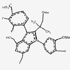 COCC(C)(C)c1c(-c2ccc(C(=O)O)c(F)c2F)c2c(O)cc(F)cc2n1-c1ccc(F)c(OC)c1